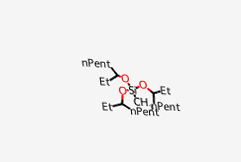 CCCCCC(CC)O[Si](C)(OC(CC)CCCCC)OC(CC)CCCCC